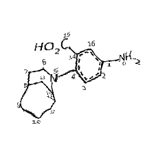 Nc1ccc(N2CCC3CCCC2C3)c(C(=O)O)c1